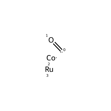 [C]=O.[Co].[Ru]